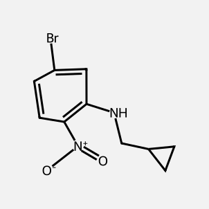 O=[N+]([O-])c1ccc(Br)cc1NCC1CC1